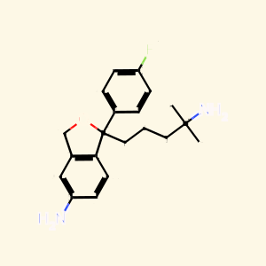 CC(C)(N)CCCC1(c2ccc(F)cc2)OCc2cc(N)ccc21